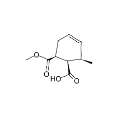 COC(=O)[C@H]1CC=C[C@@H](C)[C@H]1C(=O)O